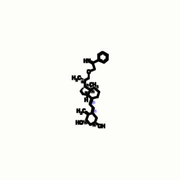 C=C1/C(=C\C=C2/CCC[C@]3(C)[C@@H]([C@H](C)COCC(=N)c4ccccc4)CC[C@@H]23)C[C@@H](O)C[C@@H]1O